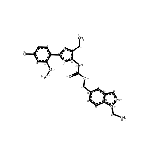 CCc1nc(-c2ccc(Cl)cc2OC)sc1NC(=O)OCc1ccc2c(cnn2CC)c1